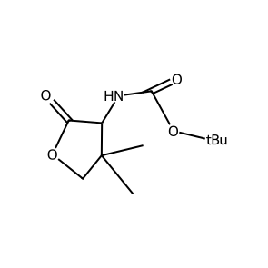 CC(C)(C)OC(=O)NC1C(=O)OCC1(C)C